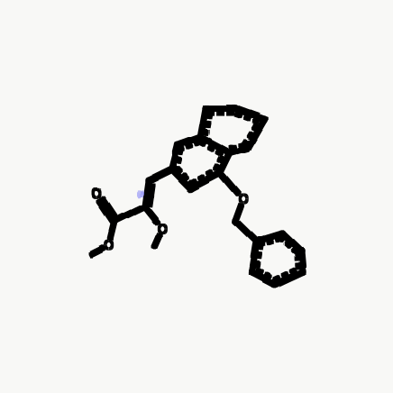 COC(=O)/C(=C/c1cc(OCc2ccccc2)c2ccccc2c1)OC